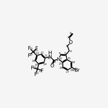 C=COCCc1cn(C(=O)Nc2cc(C(F)(F)F)cc(C(F)(F)F)c2)c2ccc(Br)cc12